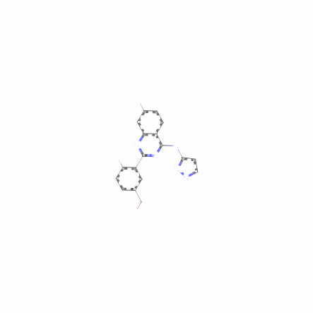 OCc1ccc(F)c(-c2nc(Nc3cc[nH]n3)c3ccc(Br)cc3n2)c1